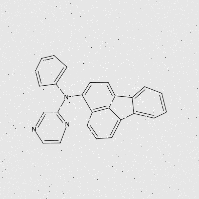 c1ccc(N(c2cnccn2)c2ccc3c4c(cccc24)-c2ccccc2-3)cc1